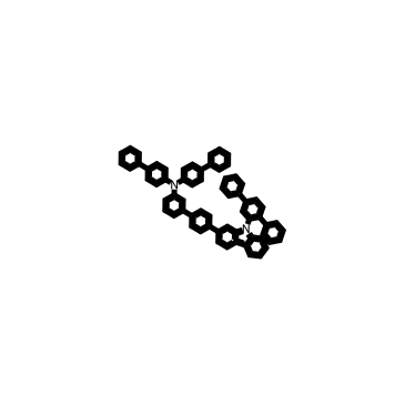 c1ccc(-c2ccc(N(c3ccc(-c4ccccc4)cc3)c3cccc(-c4ccc(-c5ccc6c7ccccc7n(-c7cc(-c8ccccc8)ccc7-c7ccccc7)c6c5)cc4)c3)cc2)cc1